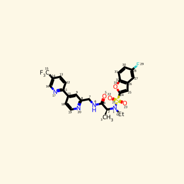 CCN([C@@H](C)C(=O)NCc1cc(-c2ccc(C(F)(F)F)cn2)ccn1)S(=O)(=O)c1cc2cc(F)ccc2o1